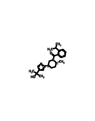 CC(C)c1ccccc1C(=O)N1C[C@H](n2cc(C(C)(C)O)cn2)CC[C@H]1C